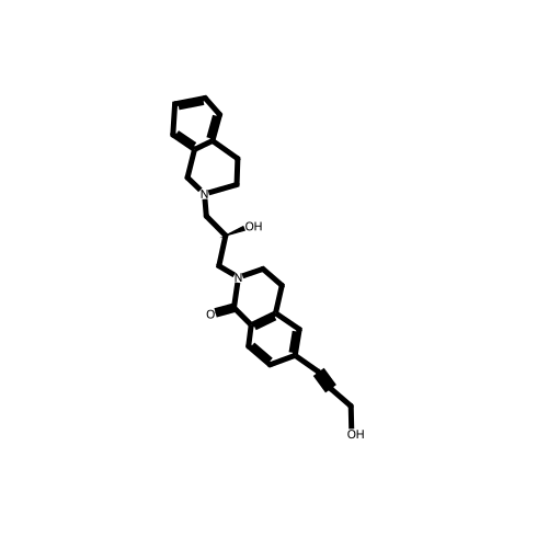 O=C1c2ccc(C#CCO)cc2CCN1C[C@H](O)CN1CCc2ccccc2C1